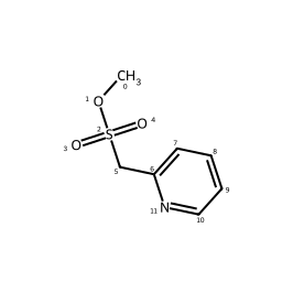 COS(=O)(=O)Cc1ccccn1